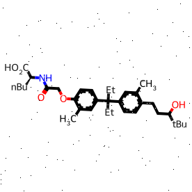 CCCC[C@H](NC(=O)COc1ccc(C(CC)(CC)c2ccc(CCC(O)C(C)(C)C)c(C)c2)cc1C)C(=O)O